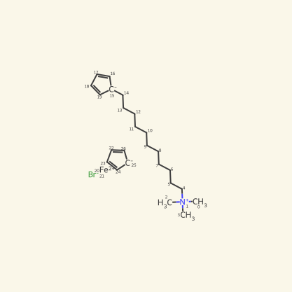 C[N+](C)(C)CCCCCCCCCCC[c-]1cccc1.[Br-].[Fe+2].c1cc[cH-]c1